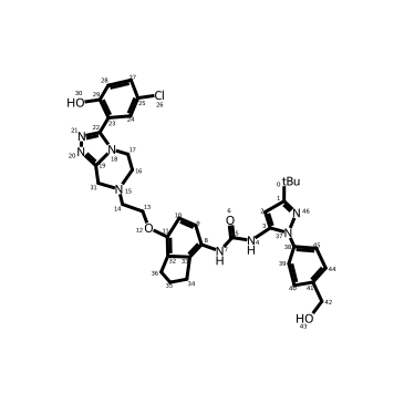 CC(C)(C)c1cc(NC(=O)Nc2ccc(OCCN3CCn4c(nnc4-c4cc(Cl)ccc4O)C3)c3c2CCC3)n(-c2ccc(CO)cc2)n1